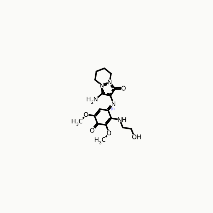 COC1=C/C(=N\c2c(N)n3n(c2=O)CCCC3)C(NCCO)=C(OC)C1=O